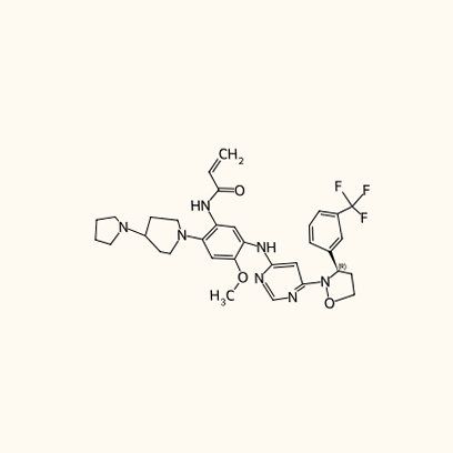 C=CC(=O)Nc1cc(Nc2cc(N3OCC[C@@H]3c3cccc(C(F)(F)F)c3)ncn2)c(OC)cc1N1CCC(N2CCCC2)CC1